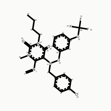 C=Nc1c(N(Cc2ccc(Cl)cc2)Oc2cccc(OC(F)(F)F)c2)c(=O)n(CCCC)c(=O)n1C